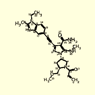 C=CC(=O)N1C[C@@H](n2nc(C#Cc3ccc4c(c3)nc(C)n4CC)c(C(N)=O)c2NC)C[C@@H]1COC